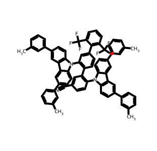 Cc1cccc(-c2ccc3c(c2)c2cc(-c4cccc(C)c4)ccc2n3-c2ccc(C#N)cc2-c2ccc(-c3c(C(F)(F)F)cccc3C(F)(F)F)cc2-n2c3ccc(-c4cccc(C)c4)cc3c3cc(-c4cccc(C)c4)ccc32)c1